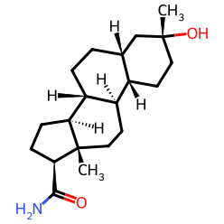 C[C@@]1(O)CC[C@H]2[C@H](CC[C@@H]3[C@@H]2CC[C@]2(C)[C@@H](C(N)=O)CC[C@@H]32)C1